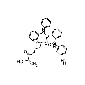 C=C(C)C(=O)OCCC(C)[SiH](O[SiH](c1ccccc1)c1ccccc1)O[SiH](c1ccccc1)c1ccccc1.[H+].[H+]